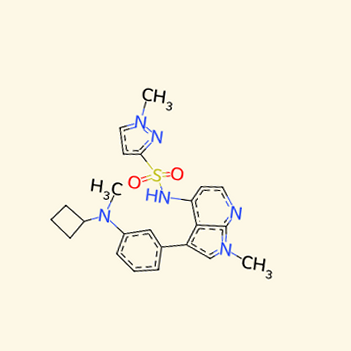 CN(c1cccc(-c2cn(C)c3nccc(NS(=O)(=O)c4ccn(C)n4)c23)c1)C1CCC1